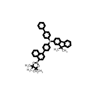 CC1(C)c2ccccc2-c2ccc(N(c3ccc(-c4ccccc4)cc3)c3ccc(-c4ccc(B5OC(C)(C)C(C)(C)O5)c5ccccc45)cc3)cc21